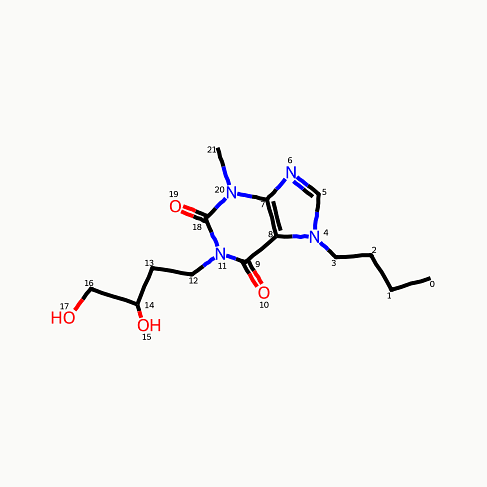 CCCCn1cnc2c1c(=O)n(CCC(O)CO)c(=O)n2C